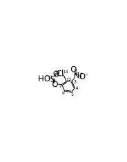 O=[N+]([O-])c1cccc(OS(=O)O)c1Cl